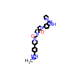 Cn1cnc(-c2ccc(C3=CCN(C(=O)CN4CC[C@]5(CCN(c6ccc7[nH]nc(N8CCCC8)c7c6)C5=O)C4)CC3)cc2)n1